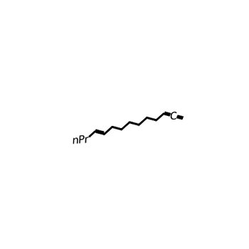 C=C=CCCCCCCC=CCCC